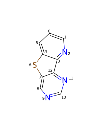 c1cnc2c(c1)sc1cncnc12